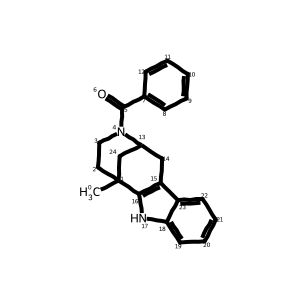 CC12CCN(C(=O)c3ccccc3)C(Cc3c1[nH]c1ccccc31)C2